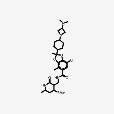 CSC1CC(C)NC(=O)C1CNC(=O)c1cc(Cl)c2c(c1C)OC(C)(C1CCC(N3CC(N(C)C)C3)CC1)O2